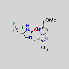 COCc1nn2c(CN3CC(CC(F)(F)Cl)NC3=O)c(C(F)(F)F)nc2s1